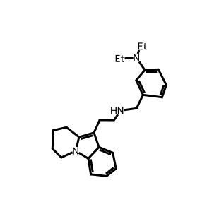 CCN(CC)c1cccc(CNCCc2c3n(c4ccccc24)CCCC3)c1